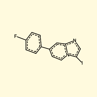 Fc1ccc(-c2ccn3c(I)cnc3c2)cc1